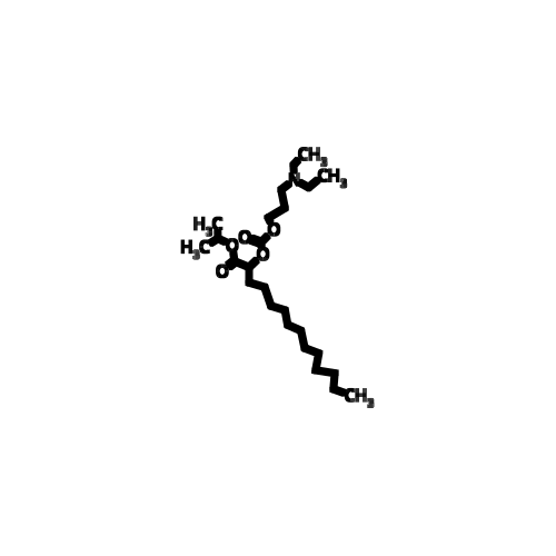 CCCCCCCCCCCCC(OC(=O)OCCCN(CC)CC)C(=O)OC(C)C